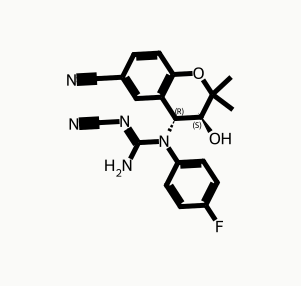 CC1(C)Oc2ccc(C#N)cc2[C@@H](N(C(N)=NC#N)c2ccc(F)cc2)[C@@H]1O